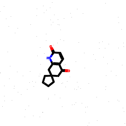 O=C1CC2(CCCC2)Cc2[nH]c(=O)ccc21